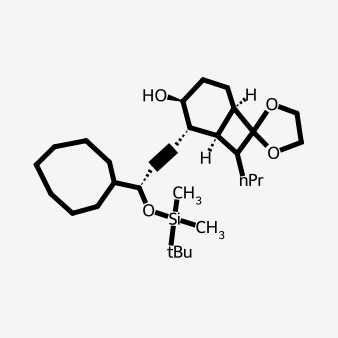 CCCC1[C@H]2[C@H](C#C[C@H](O[Si](C)(C)C(C)(C)C)C3CCCCCCC3)[C@@H](O)CC[C@H]2C12OCCO2